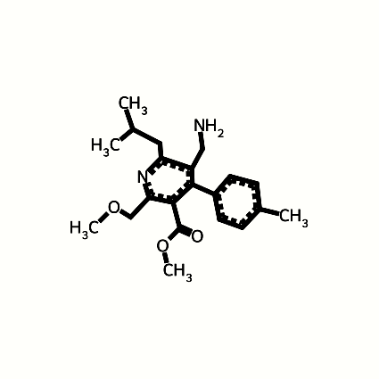 COCc1nc(CC(C)C)c(CN)c(-c2ccc(C)cc2)c1C(=O)OC